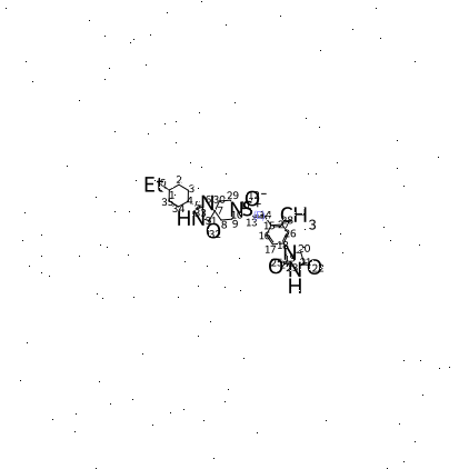 CC[C@H]1CC[C@H](C2=NC3(CCN([S+]([O-])/C=C/c4ccc(N5CC(=O)NC5=O)cc4C)CC3)C(=O)N2)CC1